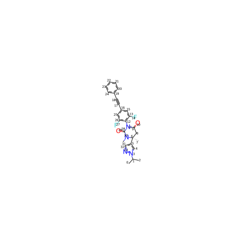 CC(C)n1cc([C@]2(C)CC(=O)N(c3c(F)cc(C#Cc4ccccc4)cc3F)C(=O)N2C)cn1